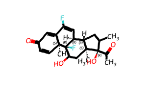 CC(=O)[C@@]1(O)C(C)C[C@H]2[C@@H]3C=C(F)C4=CC(=O)C=C[C@]4(C)[C@@]3(F)C(O)C[C@@]21C